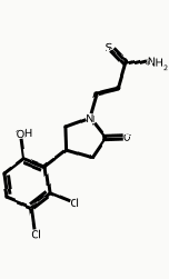 NC(=S)CCN1CC(c2c(O)ccc(Cl)c2Cl)CC1=O